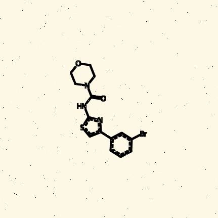 O=C(Nc1nc(-c2cccc(Br)c2)cs1)N1CCOCC1